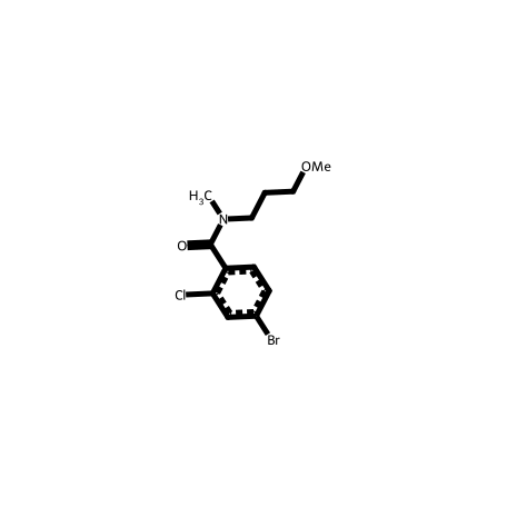 COCCCN(C)C(=O)c1ccc(Br)cc1Cl